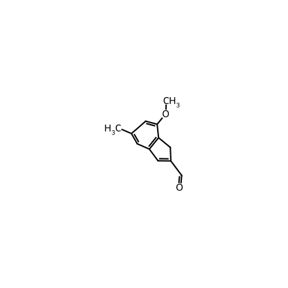 COc1cc(C)cc2c1CC(C=O)=C2